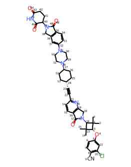 CC1(C)[C@H](Oc2ccc(C#N)c(Cl)c2)C(C)(C)[C@H]1N1Cc2nc(C#C[C@H]3CC[C@H](N4CCN(c5ccc6c(c5)CN(C5CCC(=O)NC5=O)C6=O)CC4)CC3)ccc2C1=O